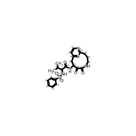 CC(C)C(NS(=O)(=O)c1ccccc1)C(=O)NC1Cc2ccnc(n2)CCCNC(=O)C1=O